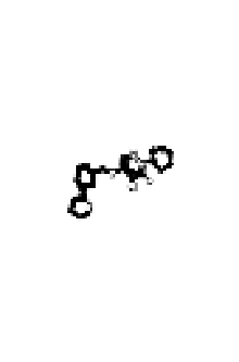 O=c1c(Cl)c(SCc2cccc(-c3ccccn3)c2)cnn1C1CCCCC1